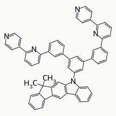 CC1(C)c2ccccc2-c2cc3c4ccccc4n(-c4cc(-c5cccc(-c6cccc(-c7ccncc7)n6)c5)cc(-c5cccc(-c6cccc(-c7ccncc7)n6)c5)c4)c3cc21